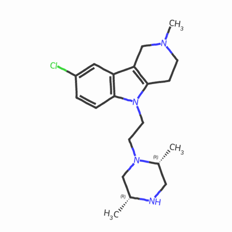 C[C@@H]1CN(CCn2c3c(c4cc(Cl)ccc42)CN(C)CC3)[C@H](C)CN1